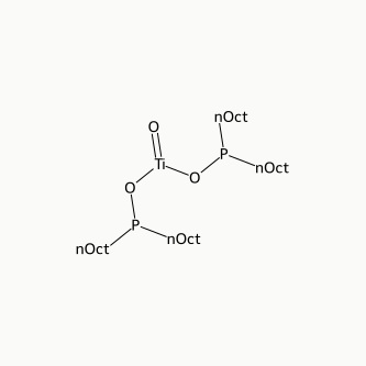 CCCCCCCCP(CCCCCCCC)[O][Ti](=[O])[O]P(CCCCCCCC)CCCCCCCC